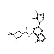 Cc1c(-c2cc3ncn(C)c3c(O[C@H](C)C3CNC(=O)C3)n2)cnn1C